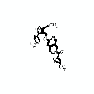 Cc1ccc(-c2noc(C)c2COc2cc3c(cn2)CN(C(=O)c2cc(C)no2)CC3)cn1